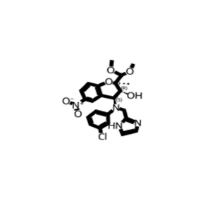 COC(OC)[C@]1(C)Oc2ccc([N+](=O)[O-])cc2[C@H](N(Cc2ncc[nH]2)c2cccc(Cl)c2)[C@H]1O